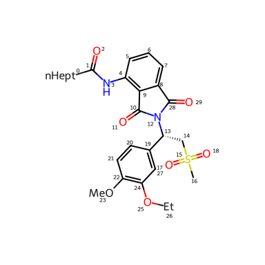 CCCCCCCC(=O)Nc1cccc2c1C(=O)N([C@H](CS(C)(=O)=O)c1ccc(OC)c(OCC)c1)C2=O